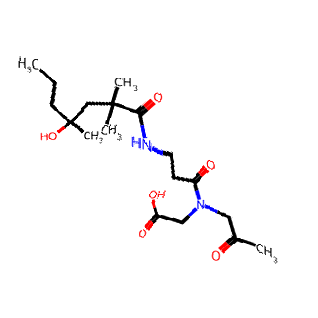 CCCC(C)(O)CC(C)(C)C(=O)NCCC(=O)N(CC(C)=O)CC(=O)O